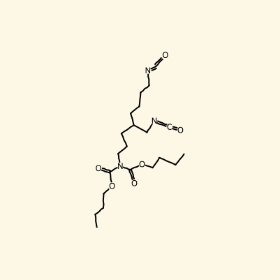 CCCCOC(=O)N(CCCC(CCCCN=C=O)CN=C=O)C(=O)OCCCC